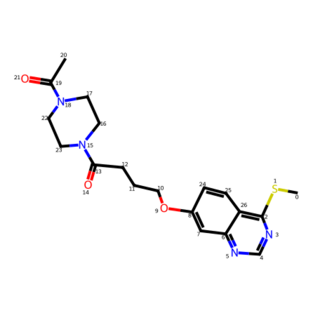 CSc1ncnc2cc(OCCCC(=O)N3CCN(C(C)=O)CC3)ccc12